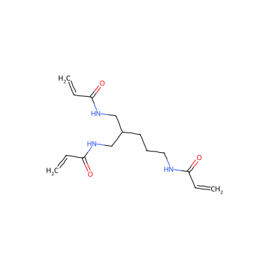 C=CC(=O)NCCCC(CNC(=O)C=C)CNC(=O)C=C